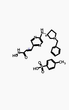 Cc1ccc(S(=O)(=O)O)cc1.O=C(/C=C/c1cnc(N[C@@H]2CCN(Cc3ccccc3)C2)cn1)NO